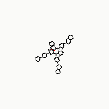 c1ccc(-c2ccc(-c3nc(-c4ccccc4)nc(-n4c5ccc(-c6ccc7ccccc7c6)cc5c5ccc6c7cc(-c8ccc9ccccc9c8)ccc7n(-c7ccccc7)c6c54)n3)cc2)cc1